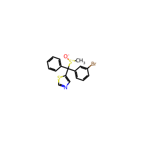 C[S+]([O-])C(c1ccccc1)(c1cccc(Br)c1)c1cncs1